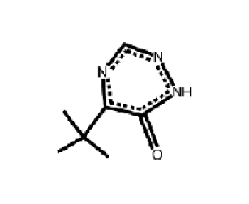 CC(C)(C)c1ncn[nH]c1=O